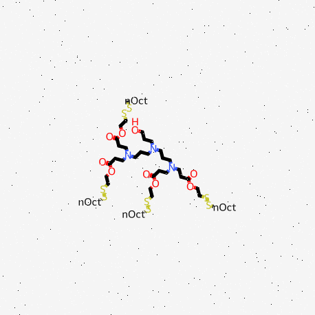 CCCCCCCCSSCCOC(=O)CCN(CCCN(CCCO)CCCN(CCC(=O)OCCSSCCCCCCCC)CCC(=O)OCCSSCCCCCCCC)CCC(=O)OCCSSCCCCCCCC